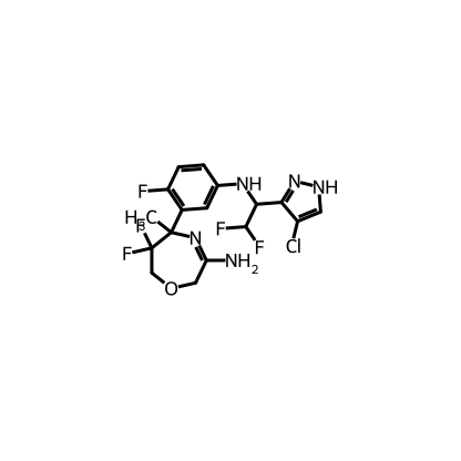 CC1(c2cc(NC(c3n[nH]cc3Cl)C(F)F)ccc2F)N=C(N)COCC1(F)F